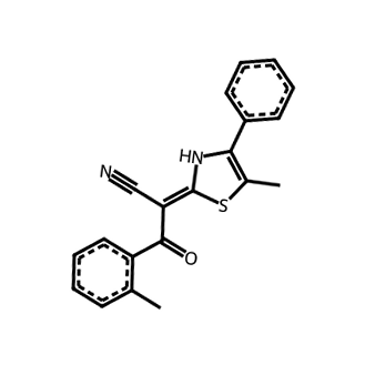 CC1=C(c2ccccc2)NC(=C(C#N)C(=O)c2ccccc2C)S1